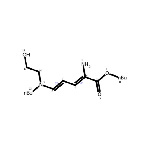 CCCCOC(=O)/C(N)=C/C=C/N(CCO)CCCC